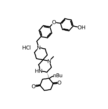 CCCCC1([C@H]2CN(C)C3(CCN(Cc4ccc(Oc5ccc(O)cc5)cc4)CC3)CN2)CC(=O)CCC1=O.Cl